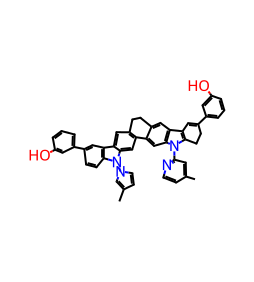 Cc1ccnc(-n2c3c(c4cc5c(cc42)-c2cc4c(cc2CC5)c2cc(-c5cccc(O)c5)ccc2n4-n2ccc(C)c2)C=C(c2cccc(O)c2)CC3)c1